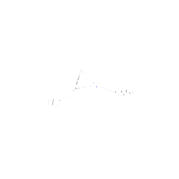 CSN1CC1C